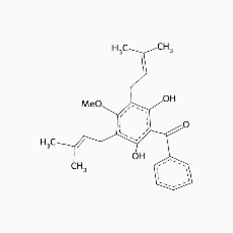 COc1c(CC=C(C)C)c(O)c(C(=O)c2ccccc2)c(O)c1CC=C(C)C